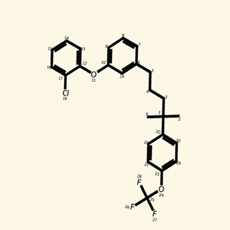 CC(C)(CCCc1cccc(Oc2ccccc2Cl)c1)c1ccc(OC(F)(F)F)cc1